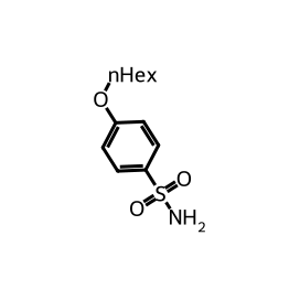 CCCCCCOc1ccc(S(N)(=O)=O)cc1